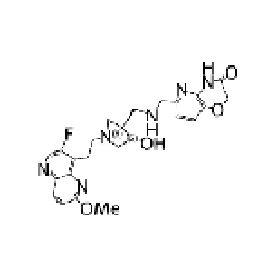 COc1ccc2ncc(F)c(CCN3C[C@@H](CNCc4ccc5c(n4)NC(=O)CO5)[C@H](O)C3)c2n1